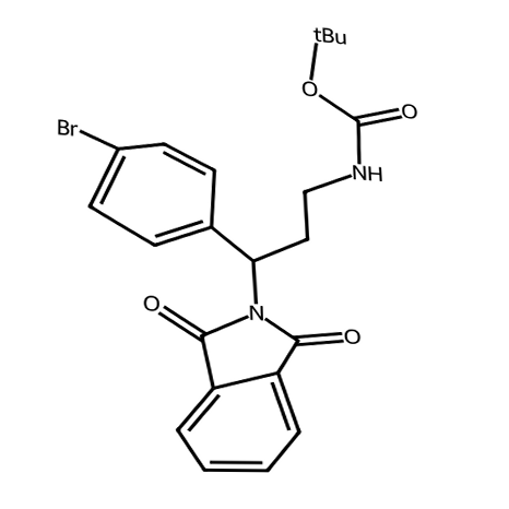 CC(C)(C)OC(=O)NCCC(c1ccc(Br)cc1)N1C(=O)c2ccccc2C1=O